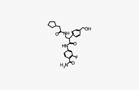 NC(=O)c1ccc(NC(=O)C(CNC(=O)CC2CCCC2)c2ccc(CO)cc2)cc1F